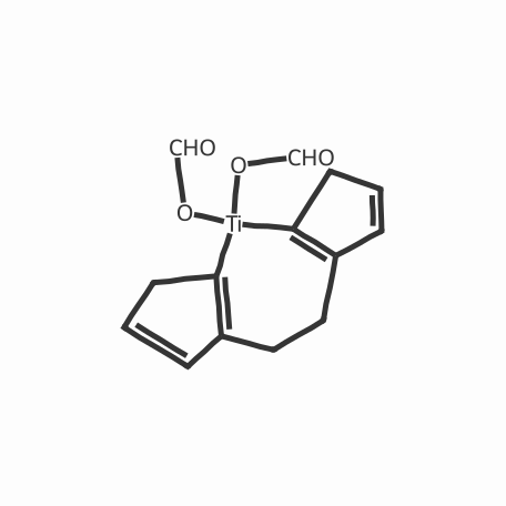 O=C[O][Ti]1([O]C=O)[C]2=C(C=CC2)CCC2=[C]1CC=C2